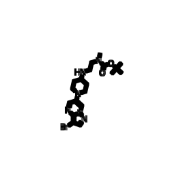 CN(CCNC1CCN(c2cnc3c(Br)cnn3c2)CC1)C(=O)OC(C)(C)C